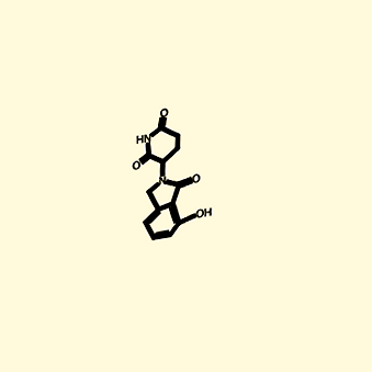 O=C1CCC(N2Cc3cccc(O)c3C2=O)C(=O)N1